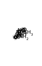 CC1CN(c2ncnc3c(S(=O)(=O)c4ccccc4)c(N)[nH]c23)CCO1